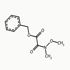 CON(C)C(=O)C(=O)OCc1ccccc1